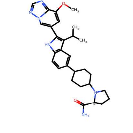 COc1cc(-c2[nH]c3ccc(C4CCC(N5CCC[C@H]5C(N)=O)CC4)cc3c2C(C)C)cn2ncnc12